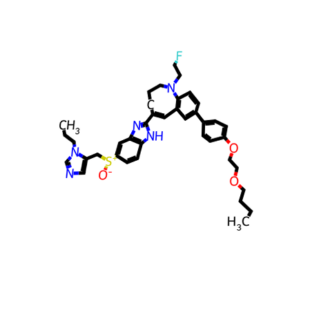 CCCCOCCOc1ccc(-c2ccc3c(c2)/C=C(/c2nc4cc([S+]([O-])Cc5cncn5CCC)ccc4[nH]2)CCCN3CCF)cc1